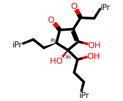 CC(C)CCC(O)[C@@]1(O)C(O)=C(C(=O)CC(C)C)C(=O)[C@@H]1CCC(C)C